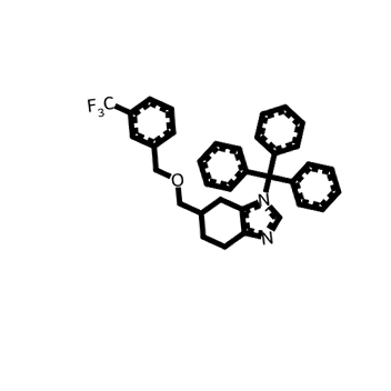 FC(F)(F)c1cccc(COCC2CCc3ncn(C(c4ccccc4)(c4ccccc4)c4ccccc4)c3C2)c1